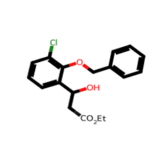 CCOC(=O)CC(O)c1cccc(Cl)c1OCc1ccccc1